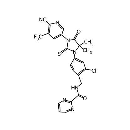 CC1(C)C(=O)N(c2cnc(C#N)c(C(F)(F)F)c2)C(=S)N1c1ccc(CNC(=O)c2ncccn2)c(Cl)c1